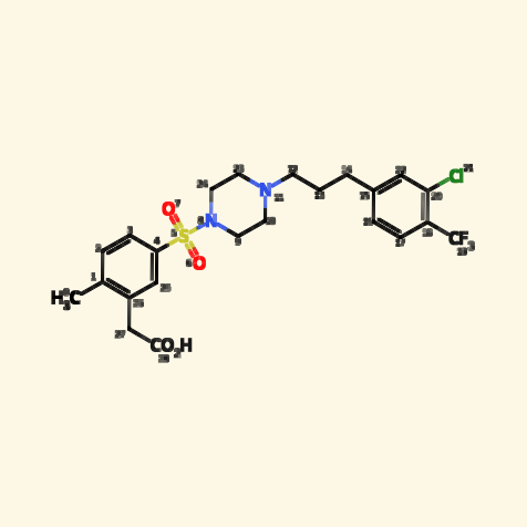 Cc1ccc(S(=O)(=O)N2CCN(CCCc3ccc(C(F)(F)F)c(Cl)c3)CC2)cc1CC(=O)O